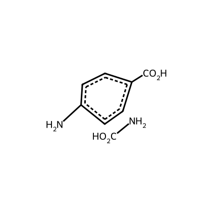 NC(=O)O.Nc1ccc(C(=O)O)cc1